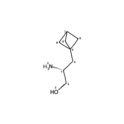 N[C@@H](CO)CC12CC(C1)C2